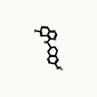 Nc1cnc2c(c1)CCC(Nc1ncnc3ccc(F)cc13)C2